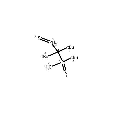 CC(C)(C)C([PH2]=S)(C(C)(C)C)P(C)(=S)C(C)(C)C